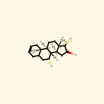 C[C@]12CC=CCC1CC[C@@H]1[C@@H]2CC[C@]2(C)C(S)C(=O)C[C@@H]12.[SH]